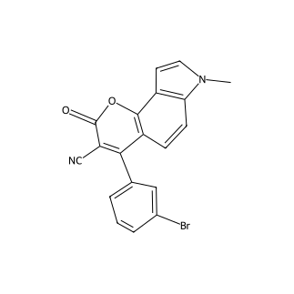 Cn1ccc2c3oc(=O)c(C#N)c(-c4cccc(Br)c4)c3ccc21